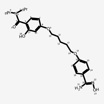 CCCN(CCC)C(=O)c1ccc(OCCCCCOc2ccc(C(N)=NO)cc2)cc1O